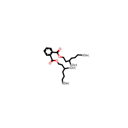 CCCCCCCCCCCCCC(CCCCCCCC)CCOC(=O)c1ccccc1C(=O)OCCC(CCCCCCCC)CCCCCCCCCCCCC